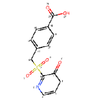 O=C1CC=CN=C1S(=O)(=O)Cc1ccc(C(=O)O)cc1